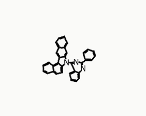 c1ccc(-c2nc(-n3c4cc5ccccc5cc4c4c5ccccc5ccc43)c3ccccc3n2)cc1